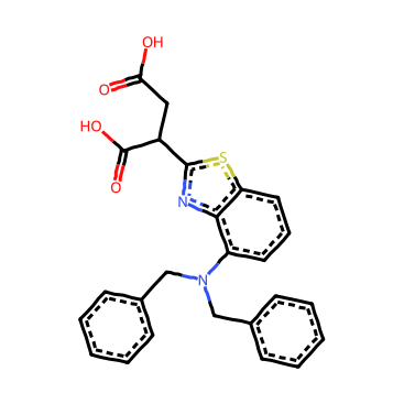 O=C(O)CC(C(=O)O)c1nc2c(N(Cc3ccccc3)Cc3ccccc3)cccc2s1